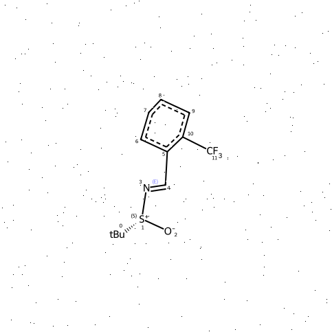 CC(C)(C)[S@@+]([O-])/N=C/c1ccccc1C(F)(F)F